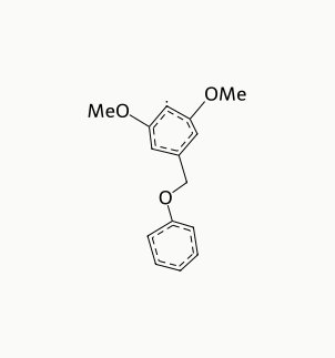 COc1[c]c(OC)cc(COc2ccccc2)c1